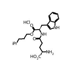 CC(C)CCCOC(=O)[C@@H](Cc1c[nH]c2ccccc12)NC(=O)CC[C@@H](N)C(=O)O.Cl